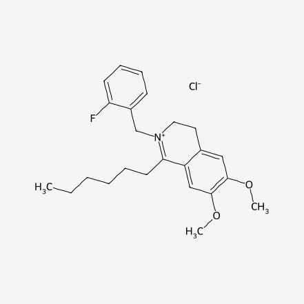 CCCCCCC1=[N+](Cc2ccccc2F)CCc2cc(OC)c(OC)cc21.[Cl-]